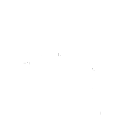 CN(C)C(=O)C(C)(C)N1CCN(Cc2cc3nc(-c4cc(F)cc5[nH]ccc45)nc(N4CCOCC4)c3s2)CC1